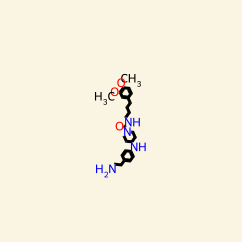 COc1ccc(CCCCNC(=O)N2CCC(Nc3ccc(CCN)cc3)CC2)cc1OC